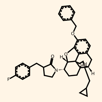 O=C1C(Cc2ccc(F)cc2)CCN1[C@H]1CCC2(O)[C@H]3Cc4ccc(OCc5ccccc5)c5c4[C@@]2(CCN3CC2CC2)[C@H]1O5